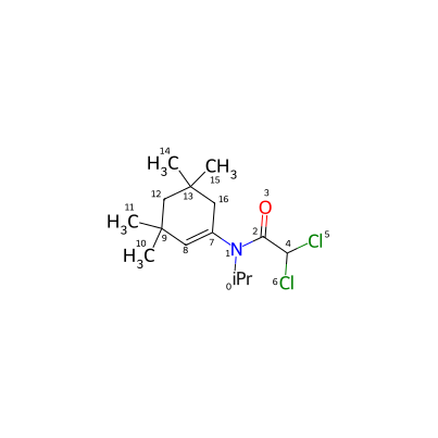 CC(C)N(C(=O)C(Cl)Cl)C1=CC(C)(C)CC(C)(C)C1